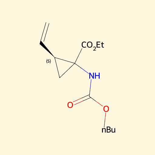 C=C[C@@H]1CC1(NC(=O)OCCCC)C(=O)OCC